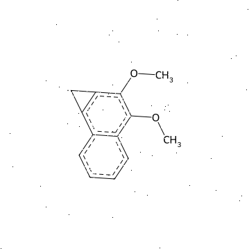 COc1c2c(c3ccccc3c1OC)[CH]2